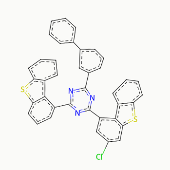 Clc1cc(-c2nc(-c3cccc(-c4ccccc4)c3)nc(-c3cccc4sc5ccccc5c34)n2)c2c(c1)sc1ccccc12